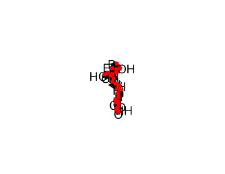 CCc1c(F)ccc2cc(O)cc(-c3ncc4c(N5CCC[C@@](C)(O)C5)nc(OCC5(CN6C[C@@H]7[C@H](CN8CCN(c9ccc%10c(c9)CN([C@H]9CCC(=O)NC9=O)C%10=O)CC8)[C@@H]7C6)CC5)nc4c3F)c12